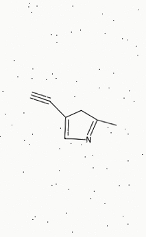 C#CC1=CN=C(C)C1